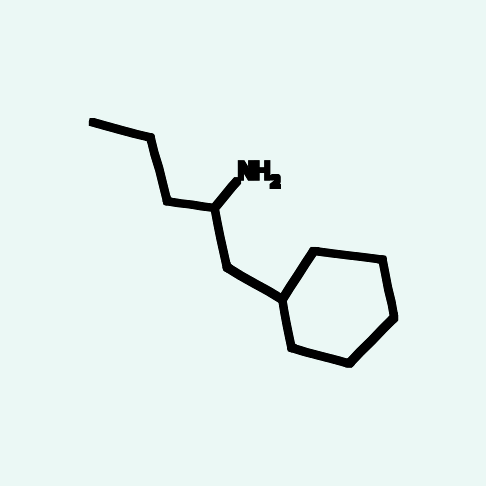 CCCC(N)CC1CCCCC1